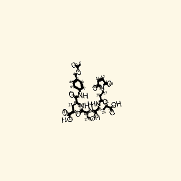 CC(=O)OCc1ccc(NC(=O)[C@H](CCC(=O)O)NC(=O)[C@H](CO)NC(=O)[C@@H](CCC(=O)O)NC(=O)CCN2C(=O)C=CC2=O)cc1